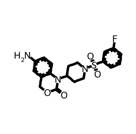 Nc1ccc2c(c1)COC(=O)N2C1CCN(S(=O)(=O)c2cccc(F)c2)CC1